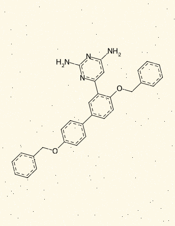 Nc1cc(-c2cc(-c3ccc(OCc4ccccc4)cc3)ccc2OCc2ccccc2)nc(N)n1